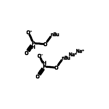 CCCCO[PH](=O)[O-].CCCCO[PH](=O)[O-].[Na+].[Na+]